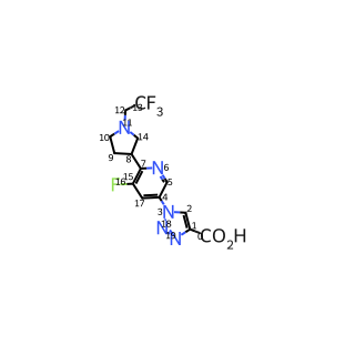 O=C(O)c1cn(-c2cnc(C3CCN(CC(F)(F)F)C3)c(F)c2)nn1